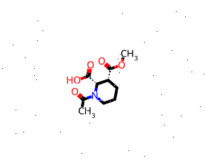 COC(=O)[C@@H]1CCCN(C(C)=O)[C@@H]1C(=O)O